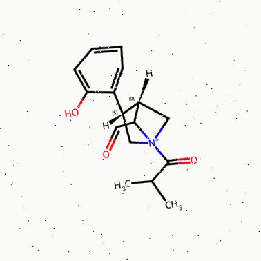 CC(C)C(=O)[N+]12C[C@H](c3ccccc3O)[C@H](C1)C2C=O